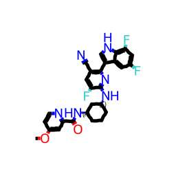 COc1ccnc(C(=O)N[C@@H]2CCC[C@H](Nc3nc(-c4c[nH]c5c(F)cc(F)cc45)c(C#N)cc3F)C2)c1